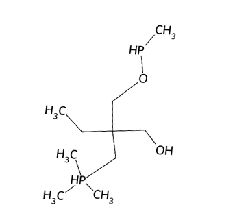 CCC(CO)(COPC)C[PH](C)(C)C